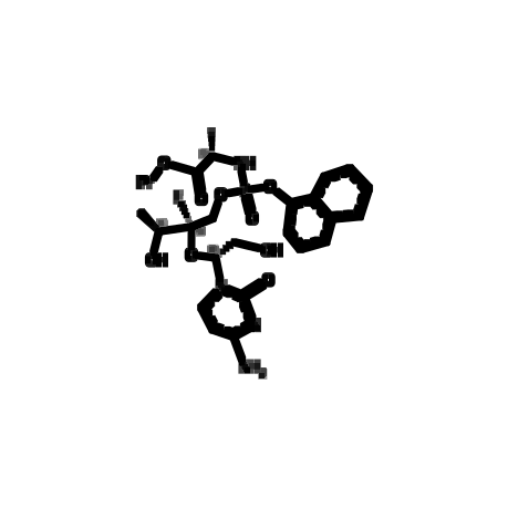 CC(C)OC(=O)[C@H](C)NP(=O)(OC[C@@](F)(O[C@H](CO)n1ccc(N)nc1=O)[C@H](C)O)Oc1cccc2ccccc12